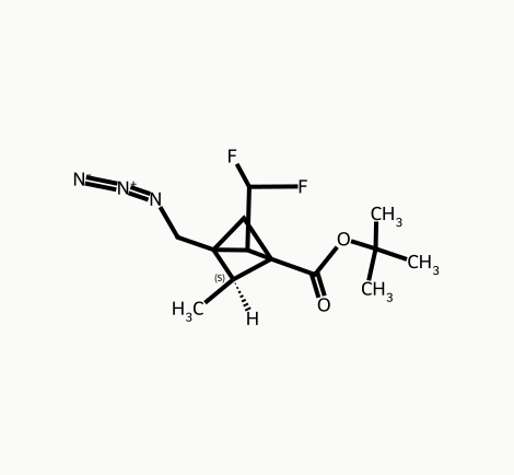 C[C@H]1C2(CN=[N+]=[N-])CC1(C(=O)OC(C)(C)C)C2C(F)F